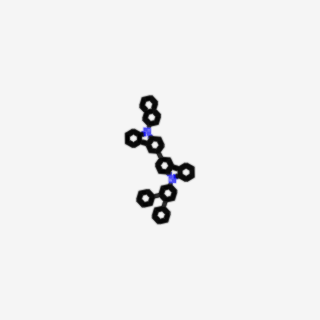 c1ccc(-c2ccc(-n3c4ccccc4c4cc(-c5ccc6c(c5)c5ccccc5n6-c5ccc6ccccc6c5)ccc43)cc2-c2ccccc2)cc1